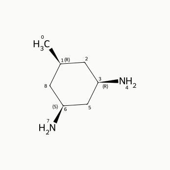 C[C@H]1C[C@@H](N)C[C@@H](N)C1